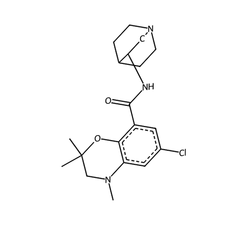 CN1CC(C)(C)Oc2c(C(=O)NC3CN4CCC3CC4)cc(Cl)cc21